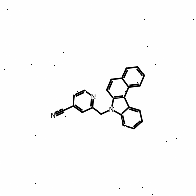 N#Cc1ccnc(Cn2c3ccccc3c3c4ccccc4ccc32)c1